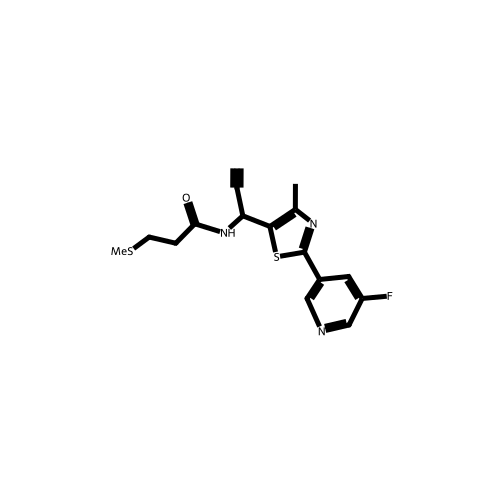 C#CC(NC(=O)CCSC)c1sc(-c2cncc(F)c2)nc1C